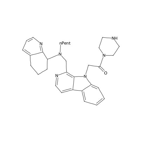 CCCCCN(Cc1nccc2c3ccccc3n(CC(=O)N3CCNCC3)c12)C1CCCc2cccnc21